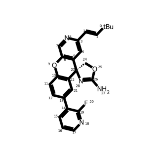 CC(C)(C)C=Cc1cc2c(cn1)Oc1ccc(-c3cccnc3F)cc1[C@@]21COC(N)=N1